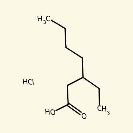 CCCCC(CC)CC(=O)O.Cl